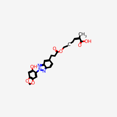 CC(=CCCCCOC(=O)CCc1ccc2nn(-c3cc4c(cc3O)OCO4)nc2c1)C(=O)O